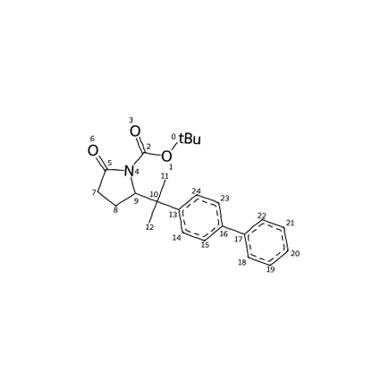 CC(C)(C)OC(=O)N1C(=O)CCC1C(C)(C)c1ccc(-c2ccccc2)cc1